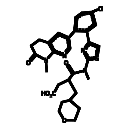 CN(C(=O)C(CC(=O)O)CC1CCOCC1)c1nc(-c2cc(Cl)ccc2-c2cnc3c(c2)CCC(=O)N3C)cs1